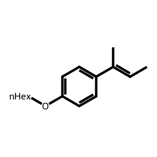 C/C=C(\C)c1ccc(OCCCCCC)cc1